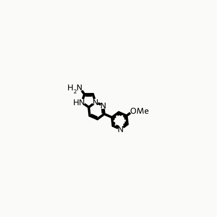 COc1cncc(C2=NN3C=C(N)NC3C=C2)c1